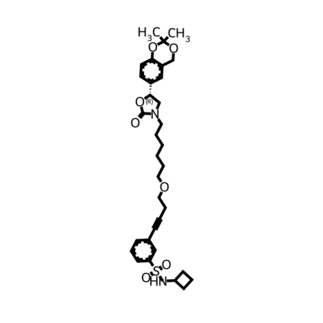 CC1(C)OCc2cc([C@@H]3CN(CCCCCCOCCC#Cc4cccc(S(=O)(=O)NC5CCC5)c4)C(=O)O3)ccc2O1